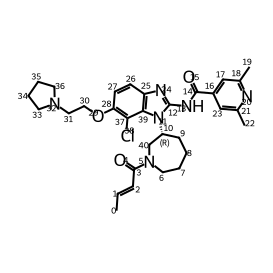 CC=CC(=O)N1CCCC[C@@H](n2c(NC(=O)c3cc(C)nc(C)c3)nc3ccc(OCCN4CCCC4)c(Cl)c32)C1